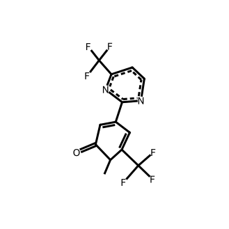 CC1C(=O)C=C(c2nccc(C(F)(F)F)n2)C=C1C(F)(F)F